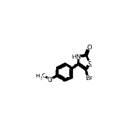 COc1ccc(-c2[nH]c(=O)sc2Br)cc1